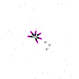 [I][Ru-3]([I])([I])([I])([I])[I].[K+].[K+].[K+]